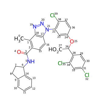 Cc1c(C(=O)NC2CCc3ccccc32)ccc2c1nnn2-c1cc(OC(C(=O)O)c2ccc(Cl)cc2Cl)ccc1Cl